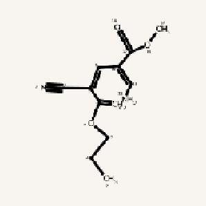 C=C(OCCC)/C(C#N)=C\C(=C/N)C(=O)OC